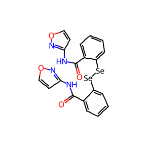 O=C(Nc1ccon1)c1ccccc1[Se][Se]c1ccccc1C(=O)Nc1ccon1